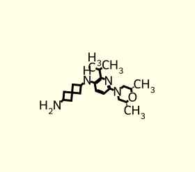 CC(C)c1nc(N2C[C@@H](C)O[C@@H](C)C2)ccc1NC1CC2(CC(N)C2)C1